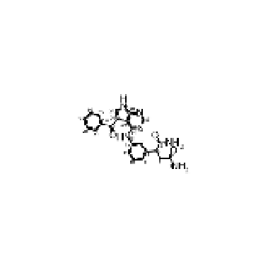 NC(=O)CC(C(N)=O)c1cccc(Nc2ncnc3[nH]cc(C(=O)c4ccccc4)c23)c1